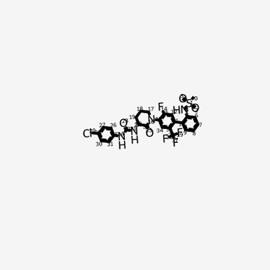 CS(=O)(=O)Nc1ccccc1-c1cc(F)c(N2CCC[C@@H](NC(=O)Nc3ccc(Cl)cc3)C2=O)cc1C(F)(F)F